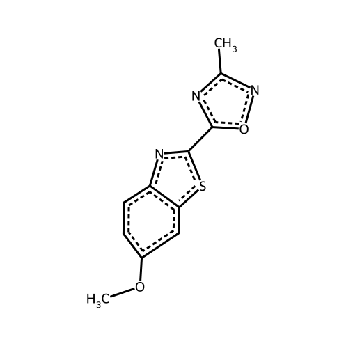 COc1ccc2nc(-c3nc(C)no3)sc2c1